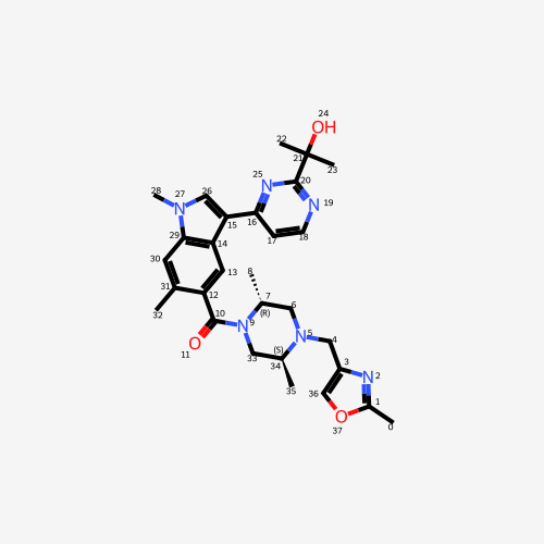 Cc1nc(CN2C[C@@H](C)N(C(=O)c3cc4c(-c5ccnc(C(C)(C)O)n5)cn(C)c4cc3C)C[C@@H]2C)co1